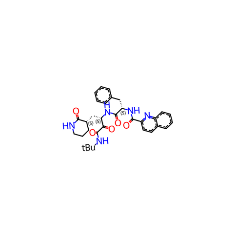 CC(C)(C)NC(=O)C(=O)[C@H](C[C@@H]1CCCNC1=O)NC(=O)[C@H](Cc1ccccc1)NC(=O)c1ccc2ccccc2n1